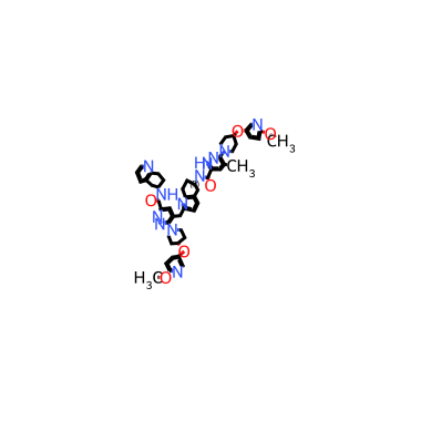 COc1ccc(OC2CCN(c3nnc(C(=O)N[C@@H]4CCc5nc(Cc6cc(C(=O)NC7CCc8ncccc8C7)nnc6N6CCC(Oc7ccc(OC)nc7)CC6)ccc5C4)cc3C)CC2)cn1